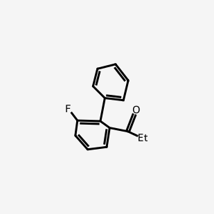 CCC(=O)c1cccc(F)c1-c1ccccc1